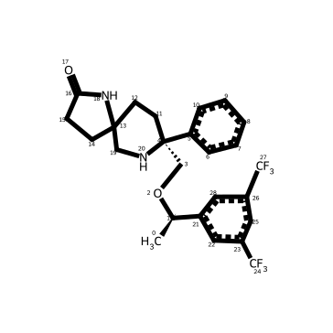 C[C@@H](OC[C@@]1(c2ccccc2)CCC2(CCC(=O)N2)CN1)c1cc(C(F)(F)F)cc(C(F)(F)F)c1